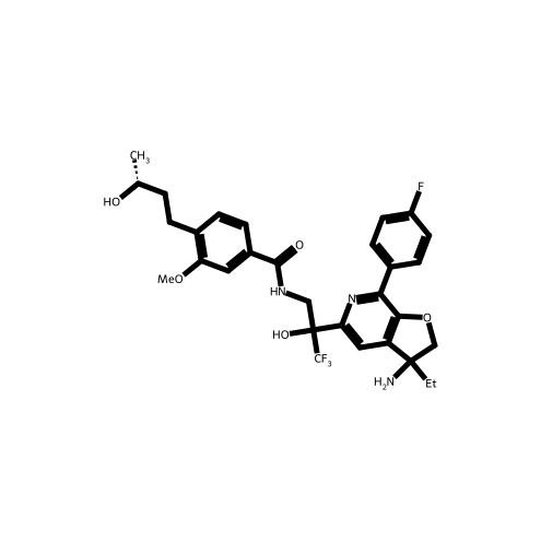 CCC1(N)COc2c1cc(C(O)(CNC(=O)c1ccc(CC[C@@H](C)O)c(OC)c1)C(F)(F)F)nc2-c1ccc(F)cc1